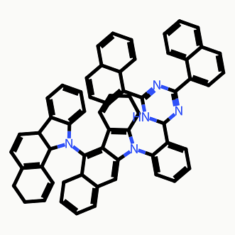 C1=CCC2C(=C1)C=c1c(c3c(n1-c1ccccc1C1N=C(c4cccc5ccccc45)N=C(C4=CC=CC5C=CC=CC45)N1)CCC=C3)=C2N1c2ccccc2C2C=CC3=C(C=CCC3)C21